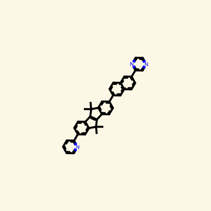 CC1(C)C2=C(c3ccc(-c4ccc5cc(-c6cnccn6)ccc5c4)cc31)C(C)(C)c1cc(-c3ccccn3)ccc12